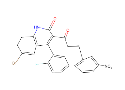 O=C(C=Cc1cccc([N+](=O)[O-])c1)c1c(-c2ccccc2F)c2c([nH]c1=O)CCC(Br)=C2